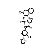 O=C1C=C(n2ncc(C(=O)Nc3cnc(-n4nccn4)c(Cl)c3)c2C(F)(F)F)c2ccccc2C1